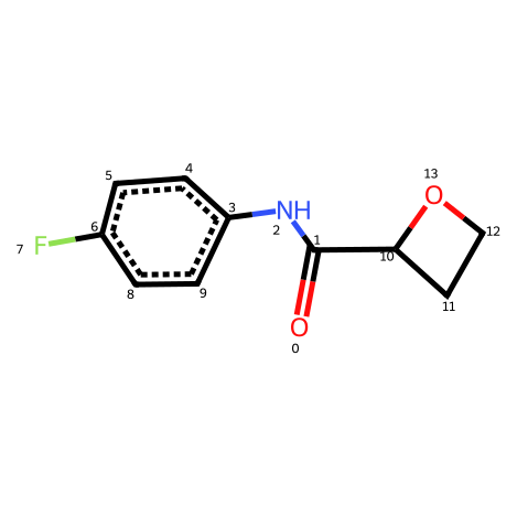 O=C(Nc1ccc(F)cc1)C1CCO1